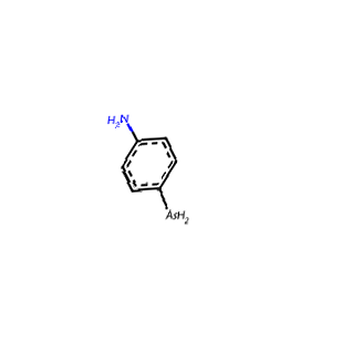 Nc1ccc([AsH2])cc1